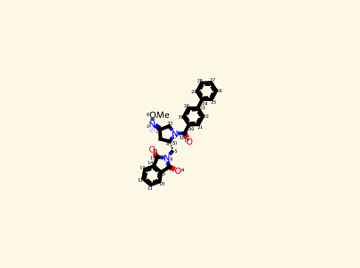 CO/N=C1/C[C@@H](CN2C(=O)c3ccccc3C2=O)N(C(=O)c2ccc(-c3ccccc3)cc2)C1